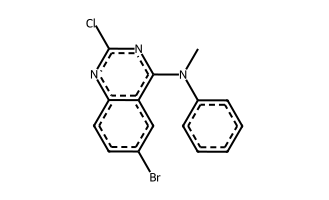 CN(c1ccccc1)c1nc(Cl)nc2ccc(Br)cc12